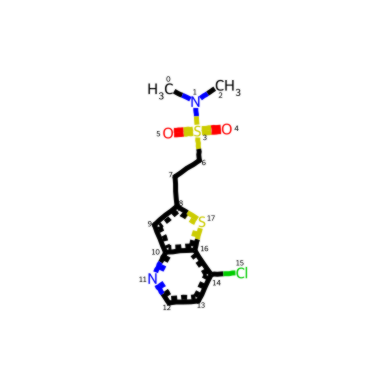 CN(C)S(=O)(=O)CCc1cc2nccc(Cl)c2s1